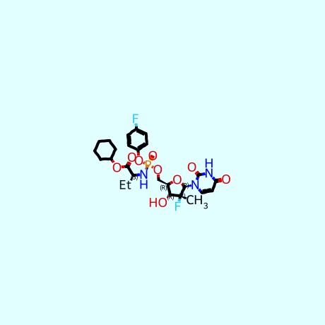 CC[C@H](NP(=O)(OC[C@H]1O[C@@H](n2ccc(=O)[nH]c2=O)[C@](C)(F)[C@@H]1O)Oc1ccc(F)cc1)C(=O)OC1CCCCC1